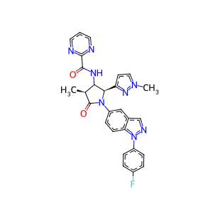 C[C@@H]1C(=O)N(c2ccc3c(cnn3-c3ccc(F)cc3)c2)[C@H](c2ccn(C)n2)C1NC(=O)c1ncccn1